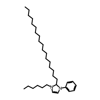 CCCCCCCCCCCCCCCCCCC1N(CCCCCC)C=CN1c1ccccc1